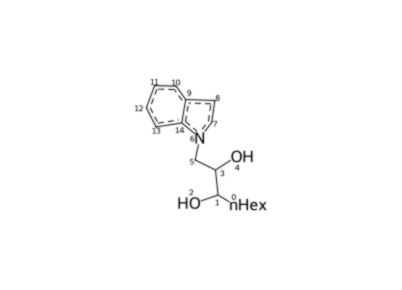 CCCCCCC(O)C(O)Cn1ccc2ccccc21